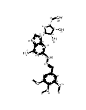 COc1cc(/C=N/Nc2nc(N)c3ncn([C@@H]4O[C@H](CO)[C@H](O)[C@@H]4O)c3n2)cc(OC)c1OC